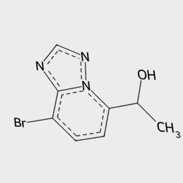 CC(O)c1ccc(Br)c2ncnn12